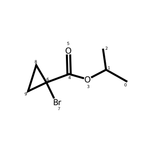 CC(C)OC(=O)C1(Br)CC1